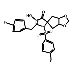 O=C(NO)C1(N(CCc2ccc(F)cc2)S(=O)(=O)c2ccc(F)cc2)CC2OCOC2C1